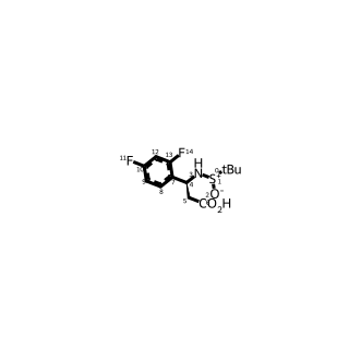 CC(C)(C)[S+]([O-])N[C@@H](CC(=O)O)c1ccc(F)cc1F